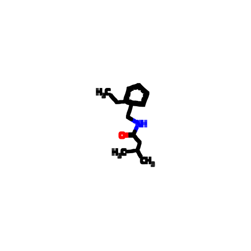 CCc1ccccc1CNC(=O)CC(C)C